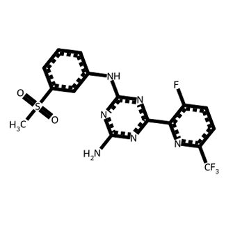 CS(=O)(=O)c1cccc(Nc2nc(N)nc(-c3nc(C(F)(F)F)ccc3F)n2)c1